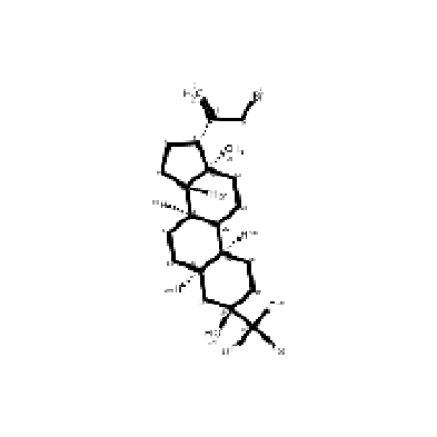 C=C(CBr)[C@H]1CC[C@H]2[C@@H]3CC[C@@H]4C[C@@](O)(C(F)(F)F)CC[C@@H]4C3CC[C@]12C